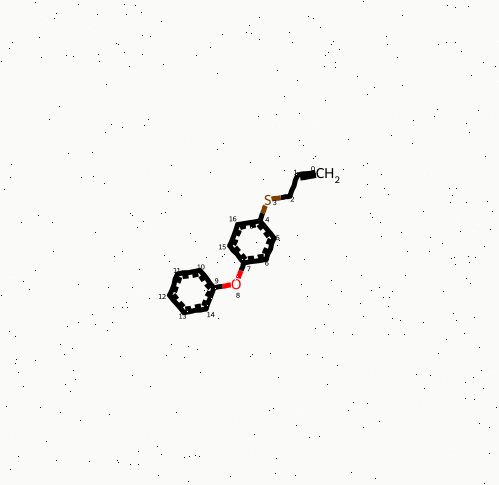 C=CCSc1ccc(Oc2ccccc2)cc1